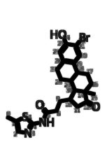 Cc1cnc(NC(=O)CCC2CC(=O)C3(C)CCC4c5cc(Br)c(O)cc5CCC4C23)s1